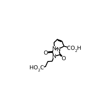 O=C(O)CCCn1c(=O)n2n(c1=O)C(C(=O)O)C=CC2